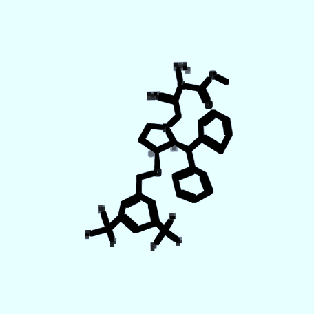 COC(=O)N(N)C(=N)CN1CC[C@H](OCc2cc(C(F)(F)F)cc(C(F)(F)F)c2)[C@@H]1C(c1ccccc1)c1ccccc1